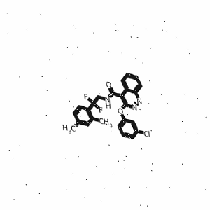 Cc1ccc(C(F)(F)CNC(=O)c2c(Oc3cccc(Cl)c3)nnc3ccccc23)c(C)c1